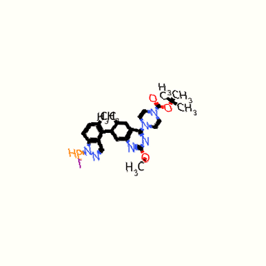 COc1nc2c(c(N3CCN(C(=O)OC(C)(C)C)CC3)n1)CC(C)C(c1c(C)ccc3c1cnn3PI)C2